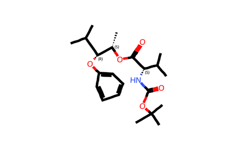 CC(C)[C@H](NC(=O)OC(C)(C)C)C(=O)O[C@@H](C)[C@H](Oc1ccccc1)C(C)C